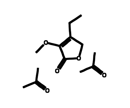 CC(C)=O.CC(C)=O.CCC1=C(OC)C(=O)OC1